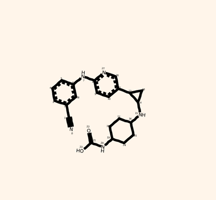 N#Cc1cccc(Nc2ccc(C3CC3NC3CCC(NC(=O)O)CC3)cn2)c1